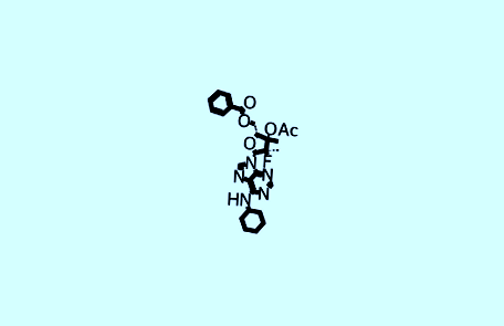 CC(=O)O[C@@]1(C)[C@@H](COC(=O)c2ccccc2)O[C@H](n2cnc3c(NC4CCCCC4)ncnc32)[C@]1(C)F